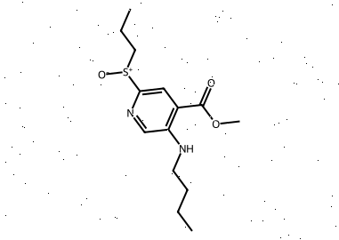 CCCCNc1cnc([S+]([O-])CCC)cc1C(=O)OC